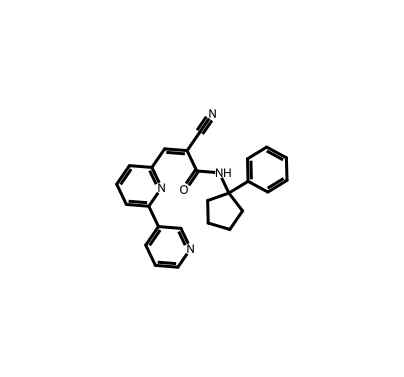 N#CC(=Cc1cccc(-c2cccnc2)n1)C(=O)NC1(c2ccccc2)CCCC1